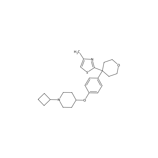 Cc1csc(C2(c3ccc(OC4CCN(C5CCC5)CC4)cc3)CCOCC2)n1